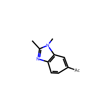 CC(=O)c1ccc2nc(C)n(C)c2c1